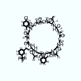 CC[C@H](C)[C@@H]1NC(=O)[C@H](C)N(C)C(=O)C[C@@H](C)NC(=O)[C@H](CC(C)C)N(C)C(=O)[C@H](Cc2ccccc2)N(C)C(=O)[C@H](CC(C)C)NC(=O)[C@H](CCc2cccc(C(F)(F)F)c2)NC(=O)CN(C)C(=O)[C@H](Cc2ccc(Cl)cc2)N(C)C(=O)CN(C)C(=O)CN(C)C1=O